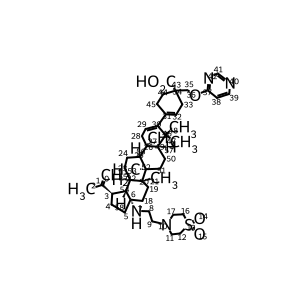 C=C(C)[C@@H]1CC[C@]2(NCCN3CCS(=O)(=O)CC3)CC[C@]3(C)[C@H](CC[C@@H]4[C@@]5(C)CC=C(C6=CC[C@](COc7ccncn7)(C(=O)O)CC6)C(C)(C)[C@@H]5CC[C@]43C)[C@@H]12